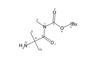 CN(C(=O)OC(C)(C)C)C(=O)C(C)(C)N